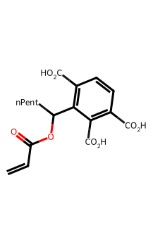 C=CC(=O)OC(CCCCC)c1c(C(=O)O)ccc(C(=O)O)c1C(=O)O